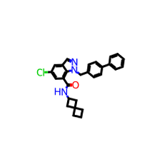 O=C(NC1CC2(CCC2)C1)c1cc(Cl)cc2cnn(Cc3ccc(-c4ccccc4)cc3)c12